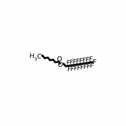 CCCCCCCC(=O)OCCC(F)(F)C(F)(F)C(F)(F)C(F)(F)C(F)(F)C(F)(F)C(F)(F)C(F)(F)F